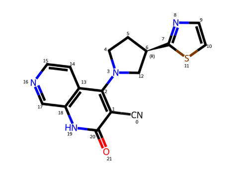 N#Cc1c(N2CC[C@@H](c3nccs3)C2)c2ccncc2[nH]c1=O